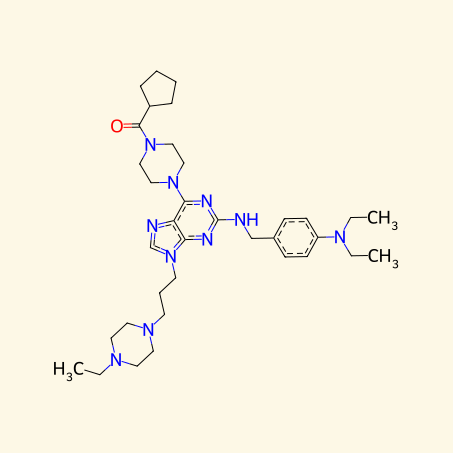 CCN1CCN(CCCn2cnc3c(N4CCN(C(=O)C5CCCC5)CC4)nc(NCc4ccc(N(CC)CC)cc4)nc32)CC1